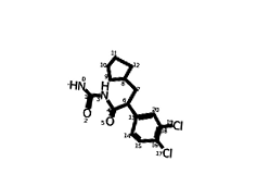 [NH]C(=O)NC(=O)C(CC1CCCC1)c1ccc(Cl)c(Cl)c1